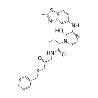 CCC(C(=O)NCC(=O)CSCc1ccccc1)N1C=CN=C(Nc2ccc3sc(C)nc3c2)C1O